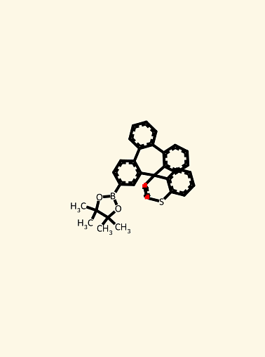 CC1(C)OB(c2ccc3c(c2)C2(c4ccccc4Sc4ccccc42)c2ccccc2-c2ccccc2-3)OC1(C)C